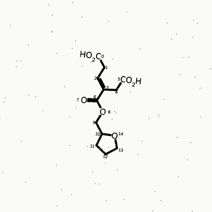 O=C(O)CC=C(CC(=O)O)C(=O)OCC1CCCO1